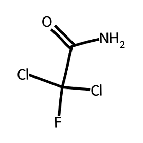 NC(=O)C(F)(Cl)Cl